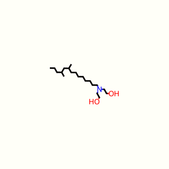 CCCC(C)CC(C)CCCCCCCCN(CCO)CCO